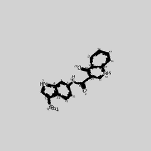 CCC(C)c1c[nH]c2cc(NC(=O)c3c[nH]c4ccccc4c3=O)ccc12